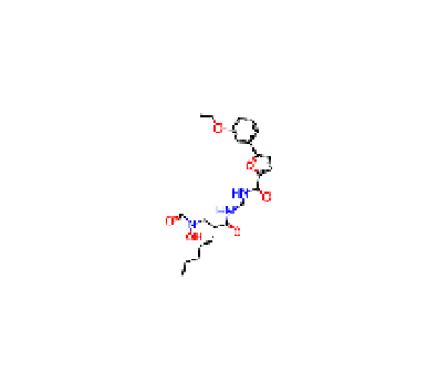 CCCCC[C@H](CN(O)C=O)C(=O)NCNC(=O)c1ccc(-c2cccc(OCC)c2)o1